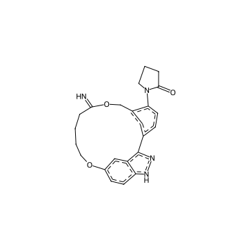 N=C1CCCCOc2ccc3[nH]nc(c3c2)-c2ccc(N3CCCC3=O)c(c2)CO1